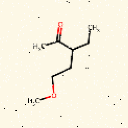 CCC(CCOC)C(C)=O